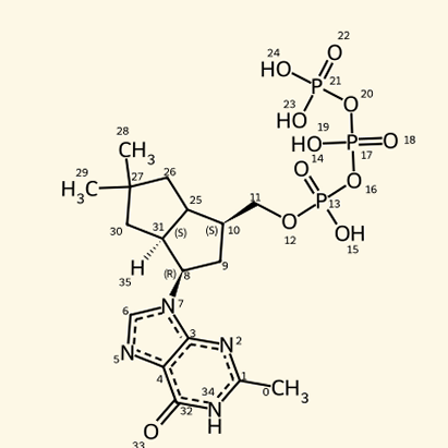 Cc1nc2c(ncn2[C@@H]2C[C@H](COP(=O)(O)OP(=O)(O)OP(=O)(O)O)C3CC(C)(C)C[C@@H]32)c(=O)[nH]1